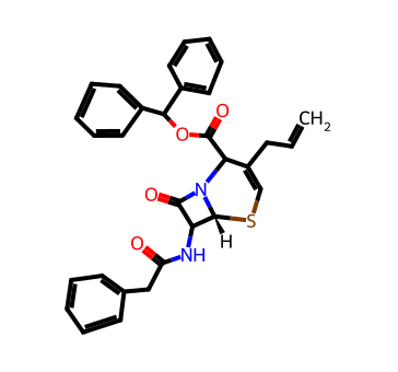 C=CCC1=CS[C@@H]2C(NC(=O)Cc3ccccc3)C(=O)N2C1C(=O)OC(c1ccccc1)c1ccccc1